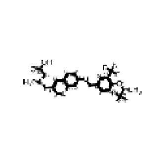 C[C@H](Oc1ccc(COc2ccc3c(c2)OCC(CN(C)CC(=O)O)=C3)cc1C(F)(F)F)C(F)(F)F